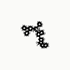 CC1(C)c2cc(-c3ccc(-c4nc(-c5ccccc5)cc(-c5ccc(-c6ccccc6)c(-c6ccccc6)c5)n4)c4ccccc34)ccc2-c2c1ccc1ccccc21